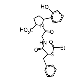 CCC(=O)SC(Cc1ccccc1)C(=O)NCC(=O)N1C(C(=O)O)CCC1c1ccccc1O